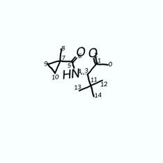 CC(=O)[C@@H](NC(=O)C1(C)CC1)C(C)(C)C